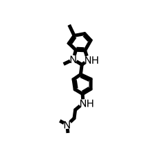 Cc1ccc2c(c1)N(C)C(c1ccc(NCCN(C)C)cc1)N2